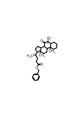 CC[C@@H]1C(=O)C2C3CCC([C@H](C)CCC(=O)OCc4ccccc4)[C@@]3(C)CCC2[C@@]2(C)CCCCC12